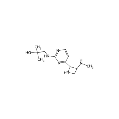 CNC1CNC1c1ccnc(NCC(C)(C)O)n1